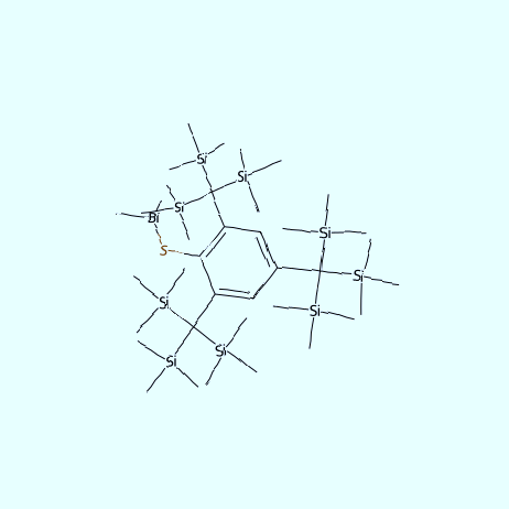 [CH3][Bi]([CH3])[S]c1c(C([Si](C)(C)C)([Si](C)(C)C)[Si](C)(C)C)cc(C([Si](C)(C)C)([Si](C)(C)C)[Si](C)(C)C)cc1C([Si](C)(C)C)([Si](C)(C)C)[Si](C)(C)C